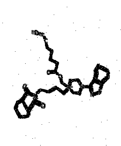 CCCCCCCCCCCCCCCC(=O)OC[N+]1(CCCCN2C(=O)C3CCCCC3C2=O)CCN(c2nsc3ccccc23)CC1